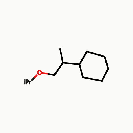 CC(C)OCC(C)C1CCCCC1